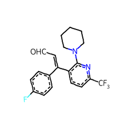 O=CC=C(c1ccc(F)cc1)c1ccc(C(F)(F)F)nc1N1CCCCC1